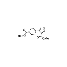 COC(=O)c1cscc1C1=CCN(C(=O)OC(C)(C)C)CC1